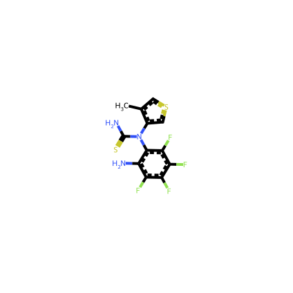 Cc1cscc1N(C(N)=S)c1c(N)c(F)c(F)c(F)c1F